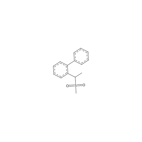 C[C](c1ccccc1-c1ccccc1)S(C)(=O)=O